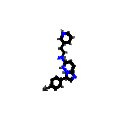 N#Cc1ccc(-c2cnc3ccc(NCCc4cccnc4)nn23)cc1